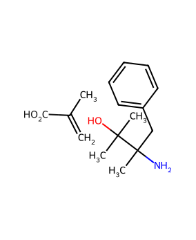 C=C(C)C(=O)O.CC(C)(O)C(C)(N)Cc1ccccc1